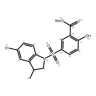 CCc1ccc2c(c1)C(C)CN2S(=O)(=O)c1ccc(O)c(C(=O)OC)c1